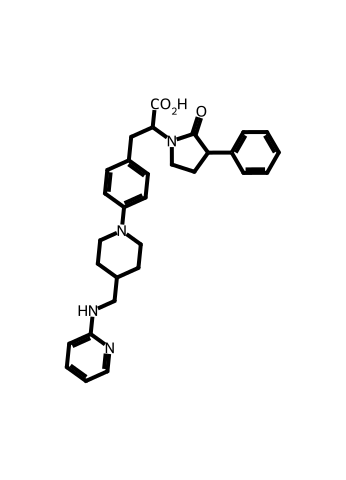 O=C(O)C(Cc1ccc(N2CCC(CNc3ccccn3)CC2)cc1)N1CCC(c2ccccc2)C1=O